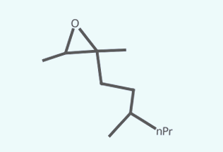 CCCC(C)CCC1(C)OC1C